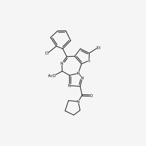 CCc1cc2c(s1)-n1nc(C(=O)N3CCCC3)nc1C(OC(C)=O)N=C2c1ccccc1Cl